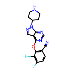 N#Cc1ccc(F)c(F)c1Oc1ncnc2c1cnn2C1CCNCC1